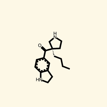 CCCC[C@@]1(C(=O)c2ccc3c(c2)CCN3)CCNC1